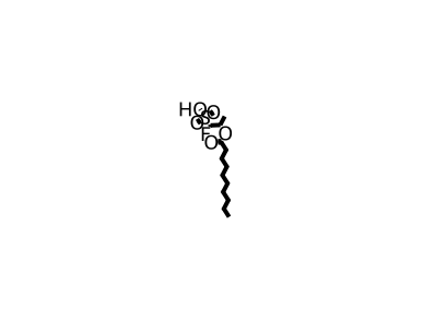 CCCCCCCCCC(=O)OC(C)C(F)S(=O)(=O)O